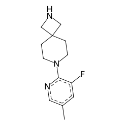 Cc1cnc(N2CCC3(CC2)CNC3)c(F)c1